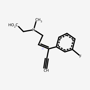 C#C/C(=C/CN(C)CC(=O)O)c1cccc(F)c1